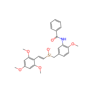 COc1cc(OC)c(/C=C/[S+]([O-])Cc2ccc(OC)c(NC(=O)c3ccccc3)c2)c(OC)c1